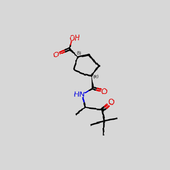 CC(NC(=O)[C@@H]1CC[C@H](C(=O)O)C1)C(=O)C(C)(C)C